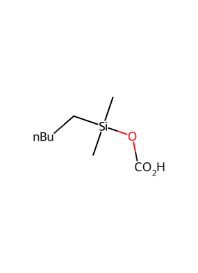 CCCCC[Si](C)(C)OC(=O)O